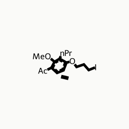 C=C.CCCc1c(OCCCI)ccc(C(C)=O)c1OC